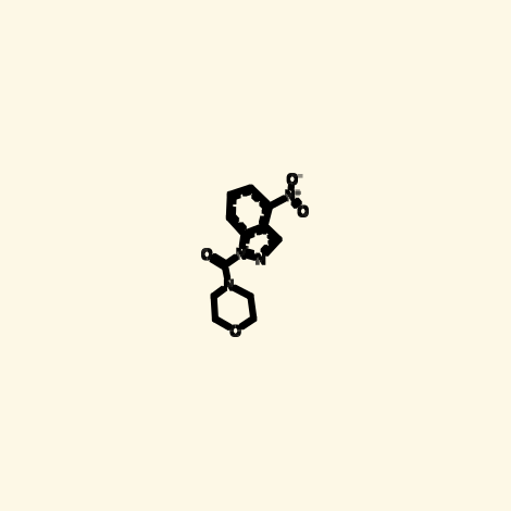 O=C(N1CCOCC1)n1ncc2c([N+](=O)[O-])cccc21